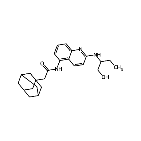 CCC(CO)Nc1ccc2c(NC(=O)CC34CC5CC(CC(C5)C3)C4)cccc2n1